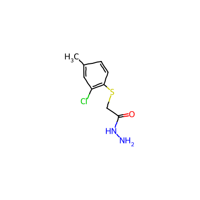 Cc1ccc(SCC(=O)NN)c(Cl)c1